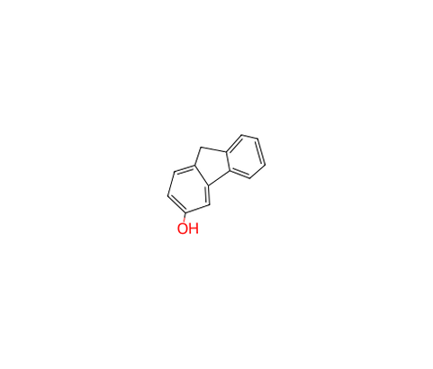 Oc1ccc2c(c1)-c1ccccc1C2